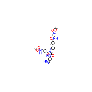 Cc1cc(C(=O)NC2CCN(C(=O)OC(C)(C)C)CC2)ccc1-c1ccc(C[C@H](NC(=O)C2CCC(CNC(=O)OC(C)(C)C)CC2)C(=O)Nc2ccc3cn[nH]c3c2)cc1